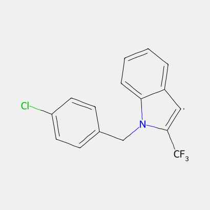 FC(F)(F)c1[c]c2ccccc2n1Cc1ccc(Cl)cc1